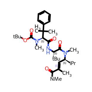 CNC(=O)/C(C)=C/[C@H](C(C)C)N(C)C(=O)[C@@H](NC(=O)[C@@H](N(C)C(=O)OC(C)(C)C)C(C)(C)c1ccccc1)C(C)(C)C